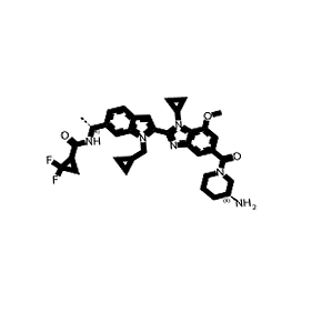 COc1cc(C(=O)N2CCC[C@@H](N)C2)cc2nc(-c3cc4ccc([C@@H](C)NC(=O)C5CC5(F)F)cc4n3CC3CC3)n(C3CC3)c12